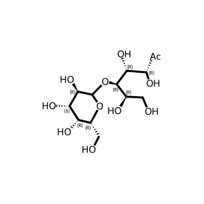 CC(=O)[C@H](O)[C@@H](O)[C@H](OC1O[C@H](CO)[C@H](O)[C@H](O)[C@H]1O)[C@H](O)CO